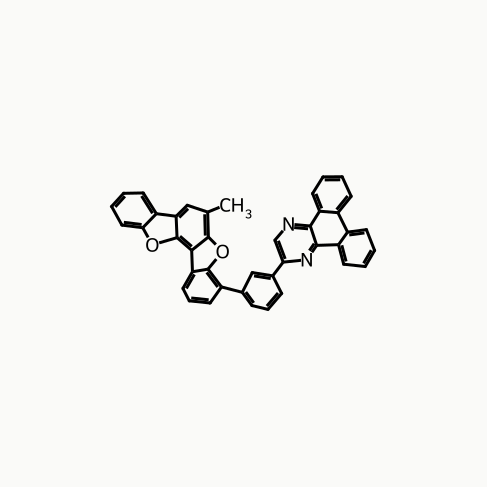 Cc1cc2c3ccccc3oc2c2c1oc1c(-c3cccc(-c4cnc5c6ccccc6c6ccccc6c5n4)c3)cccc12